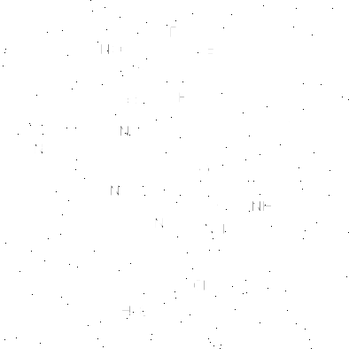 CC(C)CN(NC(=O)NC1CCCC1)c1ccnc(C#N)n1.O=C(O)C(F)(F)F